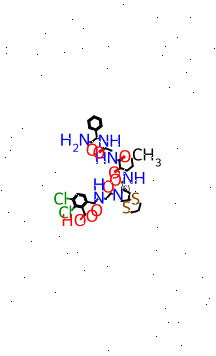 CCCC(NC(=O)[C@@H]1CC2(CN1C(=O)CNC(=O)c1ccc(Cl)c(Cl)c1C(=O)O)SCCCS2)C(=O)C(=O)NCC(=O)NC(C(N)=O)c1ccccc1